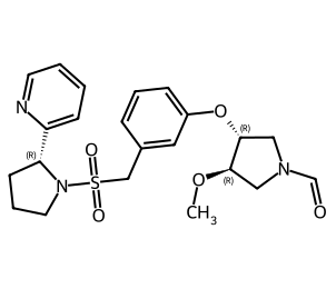 CO[C@@H]1CN(C=O)C[C@H]1Oc1cccc(CS(=O)(=O)N2CCC[C@@H]2c2ccccn2)c1